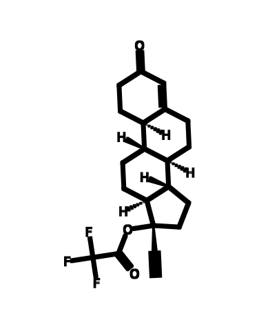 C#C[C@]1(OC(=O)C(F)(F)F)CC[C@H]2[C@@H]3CCC4=CC(=O)CC[C@@H]4[C@H]3CC[C@@H]21